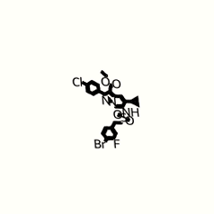 CCOC(=O)c1c(-c2ccc(Cl)cc2)nn2cc(NS(=O)(=O)CCc3ccc(Br)c(F)c3)c(C3CC3)cc12